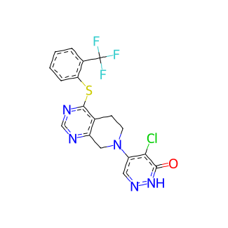 O=c1[nH]ncc(N2CCc3c(ncnc3Sc3ccccc3C(F)(F)F)C2)c1Cl